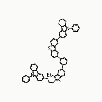 CCc1c(/C=C\Cc2ccc3c(c2)c2ccccc2n3-c2ccccc2)sc2ccc(-c3cccc(-c4ccc5sc6ccc(-c7ccc8c(c7)c7c(n8-c8ccccc8)C=CCC7)cc6c5c4)c3)cc12